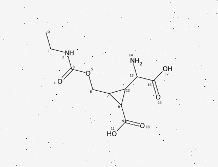 CCNC(=O)OCC1C(C(=O)O)C1C(N)C(=O)O